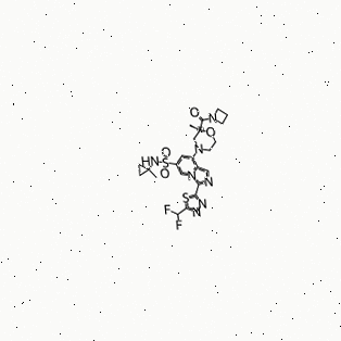 CC1(NS(=O)(=O)c2cc(N3CCO[C@@](C)(C(=O)N4CCC4)C3)c3cnc(-c4nnc(C(F)F)s4)n3c2)CC1